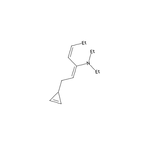 CC/C=C\C(=C/CC1C=C1)N(CC)CC